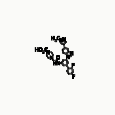 Cn1cc(-c2ccc3c(c2)ncn3-c2cc(NC(=O)CN3CCN(C(=O)O)CC3)cc(-c3ccc(F)cc3F)c2)cn1